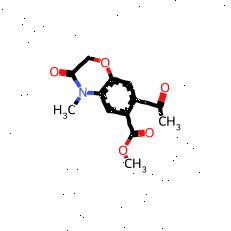 COC(=O)c1cc2c(cc1C(C)=O)OCC(=O)N2C